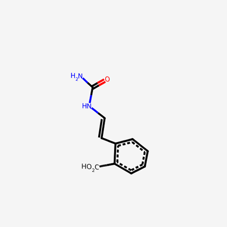 NC(=O)NC=Cc1ccccc1C(=O)O